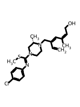 C=C/C(=C\C(C)=C/CO)CN1CCN(/C(=N/c2ccc(Cl)cc2)SC)C[C@@H]1C